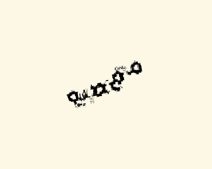 COc1ccccc1NC(=O)Nc1cc(C)c(Oc2ccnc3cc(OCc4ccccc4)c(OC)cc23)cc1C